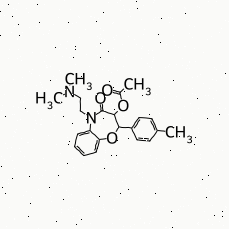 CC(=O)OC1C(=O)N(CCN(C)C)c2ccccc2OC1c1ccc(C)cc1